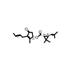 C/C=C/CC1=C(C)[C@@H](OC(=O)[C@@H]2[C@@H](C=C(C)C)C2(C)C)CC1=O